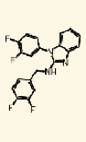 Fc1ccc(CNc2nc3ccccc3n2-c2ccc(F)c(F)c2)cc1F